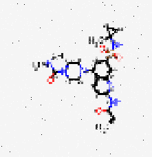 C=CC(=O)Nc1ccc2c(N3CCN(C(=O)N(C)C)CC3)cc(S(=O)(=O)NC3(C)CC3)cc2n1